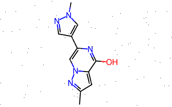 Cc1cc2c(O)nc(-c3cnn(C)c3)cn2n1